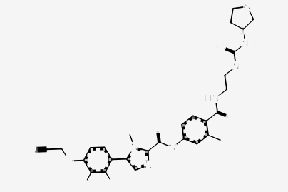 Cc1cc(NC(=O)c2ncc(-c3ccc(OCC#N)c(F)c3F)n2C)ccc1C(=O)NCCNC(=O)N[C@H]1CCNC1